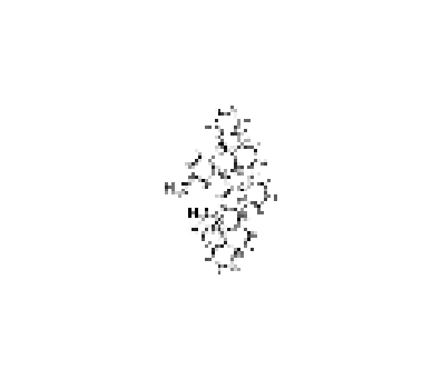 Cc1cccc(N(c2cc3c(c4ccccc24)-c2ccc4ccccc4c2C3(C)C)c2cccc3c2oc2ccccc23)c1